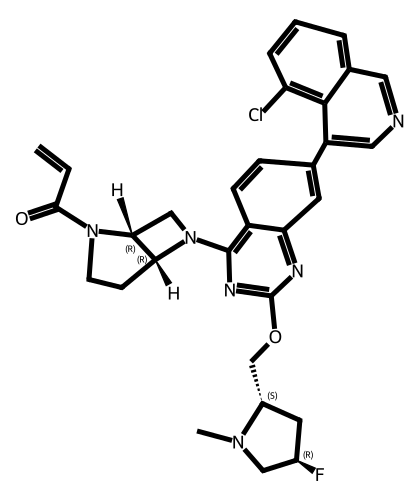 C=CC(=O)N1CC[C@@H]2[C@H]1CN2c1nc(OC[C@@H]2C[C@@H](F)CN2C)nc2cc(-c3cncc4cccc(Cl)c34)ccc12